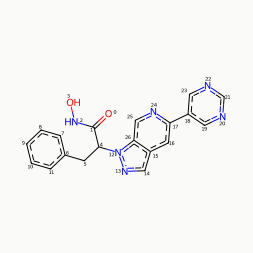 O=C(NO)C(Cc1ccccc1)n1ncc2cc(-c3cncnc3)ncc21